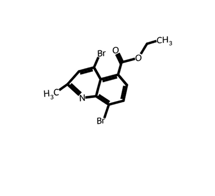 CCOC(=O)c1ccc(Br)c2nc(C)cc(Br)c12